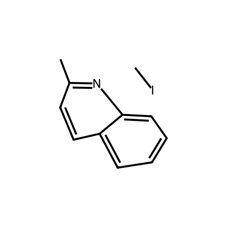 CI.Cc1ccc2ccccc2n1